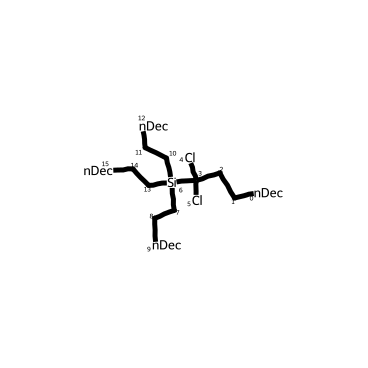 CCCCCCCCCCCCC(Cl)(Cl)[Si](CCCCCCCCCCCC)(CCCCCCCCCCCC)CCCCCCCCCCCC